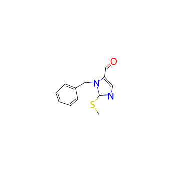 CSc1ncc(C=O)n1Cc1ccccc1